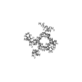 CCCC[C@H](NC(C)=O)C(=O)N[C@H]1CC(=O)NC[C@@H](C(=O)N[C@@H](Cc2c[nH]c3ccccc23)C(N)=O)NC(=O)[C@H](CCCNC(=N)N)NC(=O)C(c2ccccc2)NC(=O)[C@H](Cc2c[nH]cn2)NC1=O